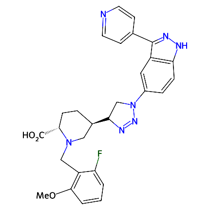 COc1cccc(F)c1CN1C[C@H](C2CN(c3ccc4[nH]nc(-c5ccncc5)c4c3)N=N2)CC[C@H]1C(=O)O